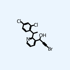 CC(c1ccc(Cl)cc1Cl)c1ncccc1C(O)C#CBr